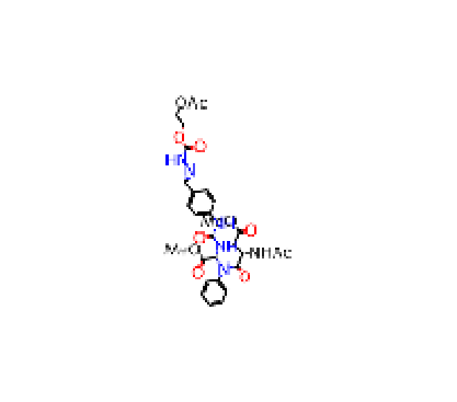 COC(=O)C[C@H](NC(C)=O)C(=O)N(c1ccccc1)[C@@H](NC(=O)Nc1ccc(C=NNC(=O)OCCOC(C)=O)cc1)C(=O)OC